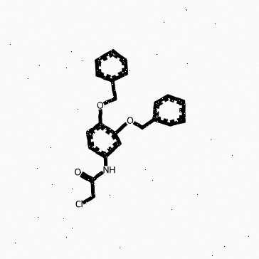 O=C(CCl)Nc1ccc(OCc2ccccc2)c(OCc2ccccc2)c1